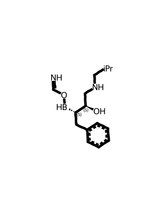 CC(C)CNC[C@@H](O)[C@@H](BOC=N)Cc1ccccc1